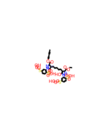 CC#CC#COC(=O)C1=NN(c2cc(SOOO)ccc2S(=O)(=O)O)C(=O)/C1=C\C=CC=Cc1c(C(=O)OCC)nn(-c2cc(SOOO)ccc2S(=O)(=O)O)c1O